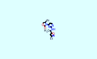 CCc1cc(C(C)Nc2nccc(N3C(=O)OCC3C(C)C)n2)on1